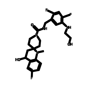 CN1c2ccc(F)cc2C(O)CC12CCN(C(=O)NCc1cc(NCCO)c(F)cc1F)CC2